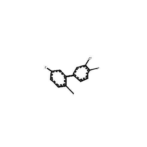 Cc1ccc(F)cc1-c1ccc(F)c(Cl)c1